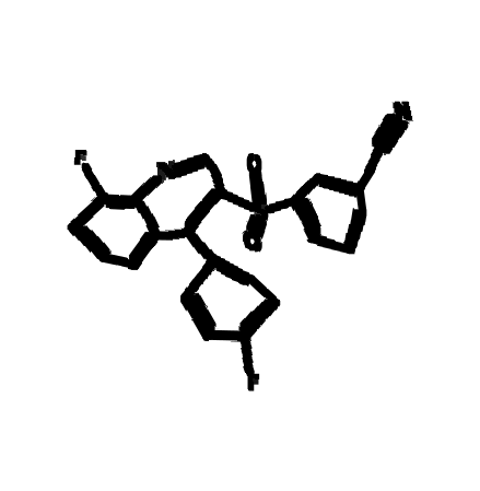 N#Cc1cccc(S(=O)(=O)c2cnc3c(F)cccc3c2-c2ccc(F)cc2)c1